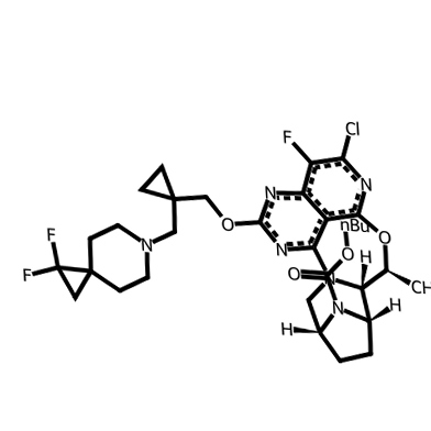 CCCCOC(=O)N1[C@@H]2CC[C@H]1[C@H]1[C@H](C)Oc3nc(Cl)c(F)c4nc(OCC5(CN6CCC7(CC6)CC7(F)F)CC5)nc(c34)N1C2